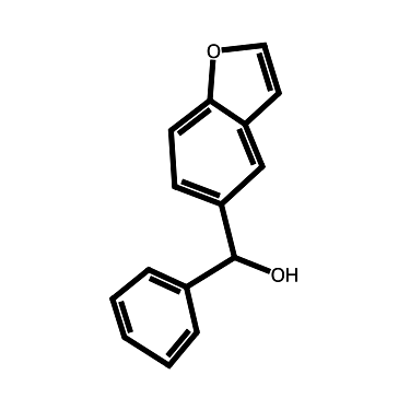 OC(c1ccccc1)c1ccc2occc2c1